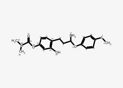 CSc1ccc(OC(N)CCc2ccc(OC(=O)N(C)C)cc2O)cc1